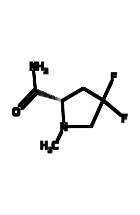 CN1CC(F)(F)C[C@H]1C(N)=O